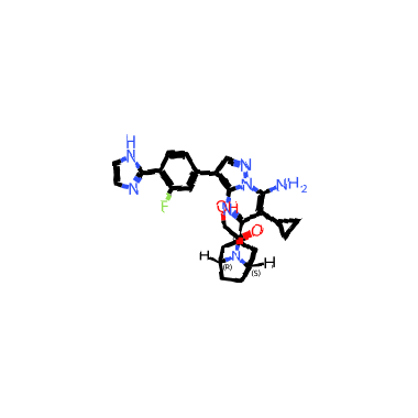 Nc1c(C2CC2)c([C@@H]2C[C@H]3CC[C@@H](C2)N3C(=O)CO)nc2c(-c3ccc(-c4ncc[nH]4)c(F)c3)cnn12